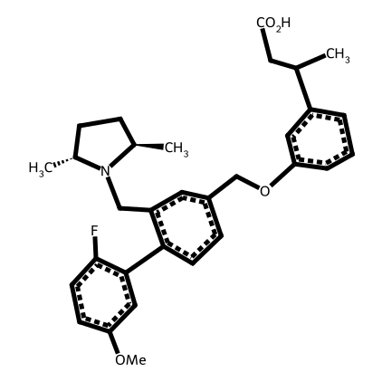 COc1ccc(F)c(-c2ccc(COc3cccc(C(C)CC(=O)O)c3)cc2CN2[C@H](C)CC[C@H]2C)c1